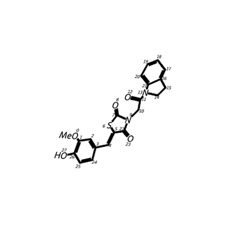 COc1cc(C=C2SC(=O)N(CC(=O)N3CCc4ccccc43)C2=O)ccc1O